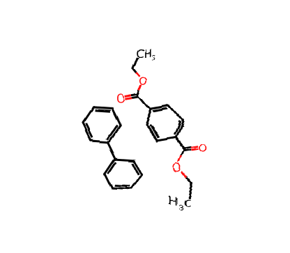 CCOC(=O)c1ccc(C(=O)OCC)cc1.c1ccc(-c2ccccc2)cc1